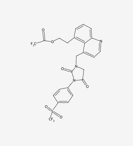 O=C1CN(Cc2ccnc3cccc(CCOC(=O)C(F)(F)F)c23)C(=O)N1c1ccc(S(=O)(=O)C(F)(F)F)cc1